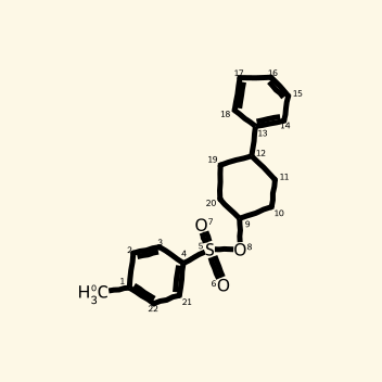 Cc1ccc(S(=O)(=O)OC2CCC(c3ccccc3)CC2)cc1